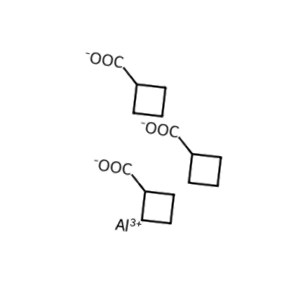 O=C([O-])C1CCC1.O=C([O-])C1CCC1.O=C([O-])C1CCC1.[Al+3]